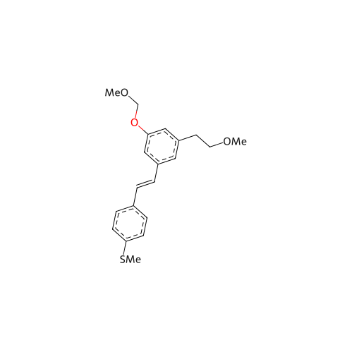 COCCc1cc(/C=C/c2ccc(SC)cc2)cc(OCOC)c1